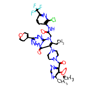 CCc1c(N2CCN(C(=O)c3ncnc(C)c3OC)CC2)c(=O)n2nc(C3=CCOCC3)nc2n1CC(=O)Nc1ccc(C(F)(F)F)nc1Cl